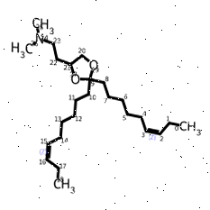 CC/C=C\CCCCCC1(CCCCC/C=C\CC)OCC(CCN(C)C)O1